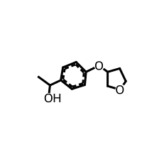 CC(O)c1ccc(OC2CCOC2)cc1